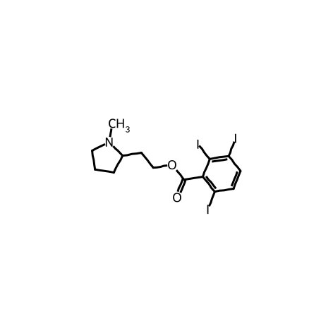 CN1CCCC1CCOC(=O)c1c(I)ccc(I)c1I